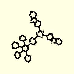 c1ccc(-c2cc(-c3ccc(-c4nc(-c5ccc6c(c5)oc5ccccc56)nc(-c5ccc6c(c5)oc5ccccc56)n4)cc3)c(-c3ccccc3)c(-c3ccccc3)c2-c2ccccc2)cc1